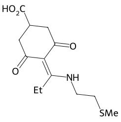 CCC(NCCSC)=C1C(=O)CC(C(=O)O)CC1=O